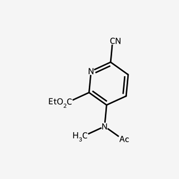 CCOC(=O)c1nc(C#N)ccc1N(C)C(C)=O